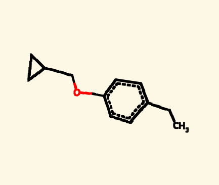 CCc1ccc(OCC2CC2)cc1